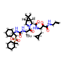 C=CCNC(=O)C(=O)[C@H](CC1CC1)NC(=O)[C@@H]1[C@@H]2[C@H](CN1C(=O)[C@@H](NC(=O)NC1(CS(=O)(=O)C3(C)CCCCC3)CCCCC1)C(C)(C)C)C2(C)C